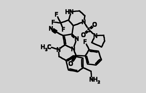 CN(Cc1ccc(CN)cc1)c1c(C#N)c(C2C(C(F)(F)F)NCCN2S(=O)(=O)N2CCCC2)nn1C(=O)c1ccccc1F